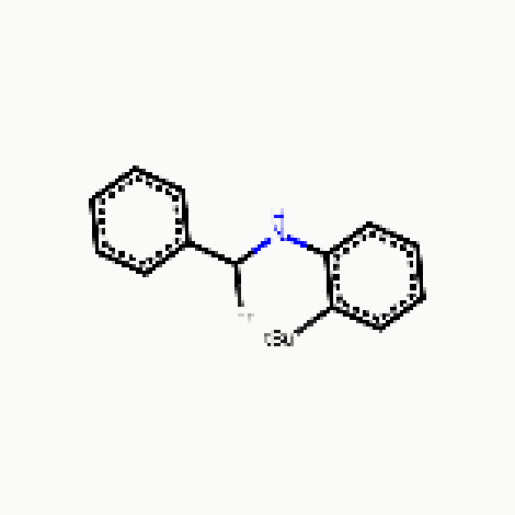 [CH2]CC(Nc1ccccc1C(C)(C)C)c1ccccc1